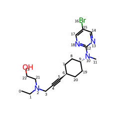 CCN(CC#C[C@H]1CC[C@H](N(C)c2ncc(Br)cn2)CC1)CCO